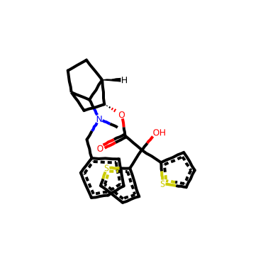 CN(Cc1ccccc1)C1C2CC[C@@H]1[C@H](OC(=O)C(O)(c1cccs1)c1cccs1)C2